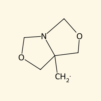 [CH2]C12COCN1COC2